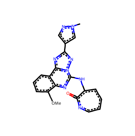 COc1cccc2c1nc(Nc1ccccnc1=O)n1nc(-c3cnn(C)c3)nc21